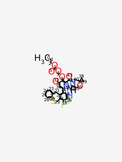 CCCOC(=O)OCOc1c2n(c(-c3cc(F)c(F)c4c3Cc3ccccc3SC4)cc1=O)N[C@@H]1COC3(CC3)CN1C2=O